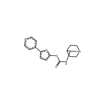 O=C(NC1CN2CCC1CC2)Oc1ccc(-c2ccncc2)s1